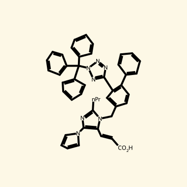 CCCc1nc(-n2cccc2)c(C=CC(=O)O)n1Cc1ccc(-c2ccccc2)c(-c2nnn(C(c3ccccc3)(c3ccccc3)c3ccccc3)n2)c1